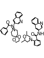 CC1CN(c2ccccc2C(=O)Nc2cnc3ccccc3c2)CC(C)O1.O=C(c1ccccc1)N(c1cnc2ccccc2c1)N1CCC2(CC1)OCCO2